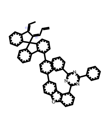 C=C/C=C1\C(=C/C)c2ccccc2C12c1ccccc1-c1c(-c3ccc(-c4ccc5oc6cccc(-c7nc(-c8ccccc8)nc(-c8ccccc8)n7)c6c5c4)cc3)cccc12